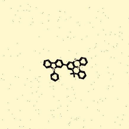 CC1(C)c2ccccc2N2c3ccccc3Sc3cc(-c4ccc5c6ccccc6n(-c6ccccc6)c5c4)cc1c32